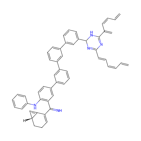 C=C/C=C\C=C\C1=NC(c2cccc(-c3cccc(-c4cccc(-c5ccc(Nc6ccccc6)c(C(=N)C6=CCC[C@@H]7C=C67)c5)c4)c3)c2)NC(C(=C)/C=C\C=C)=N1